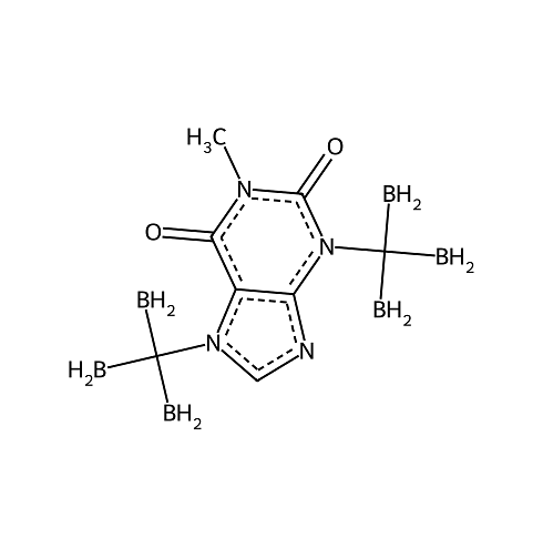 BC(B)(B)n1cnc2c1c(=O)n(C)c(=O)n2C(B)(B)B